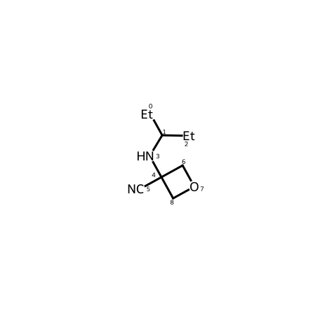 CCC(CC)NC1(C#N)COC1